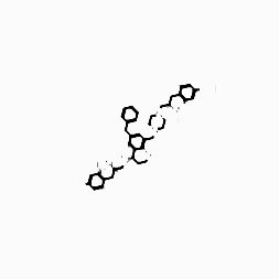 Cc1cc(C)c(C[C@H](N)C(=O)N[C@@H]2CCNc3c(CN4CCN(C(=O)[C@@H](N)Cc5c(C)cc(O)cc5C)CC4)cc(Cc4ccccc4)cc32)c(C)c1